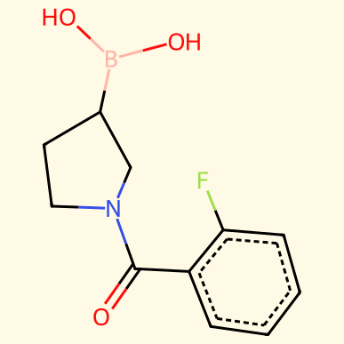 O=C(c1ccccc1F)N1CCC(B(O)O)C1